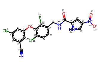 N#Cc1cc(Cl)cc(Oc2c(Cl)ccc(CNC(=O)c3cc([N+](=O)[O-])c[nH]3)c2F)c1